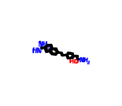 N=C(N)c1ccc2cc(/C=C/c3ccc(CC(N)O)cc3)ccc2c1